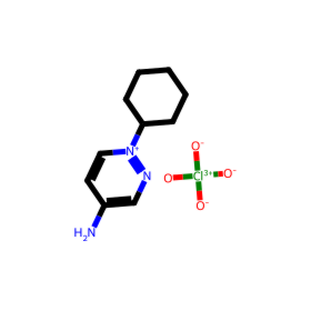 Nc1cc[n+](C2CCCCC2)nc1.[O-][Cl+3]([O-])([O-])[O-]